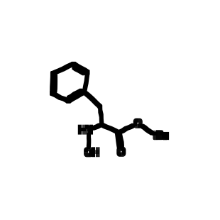 CC(C)(C)OC(=O)C(Cc1ccccc1)NO